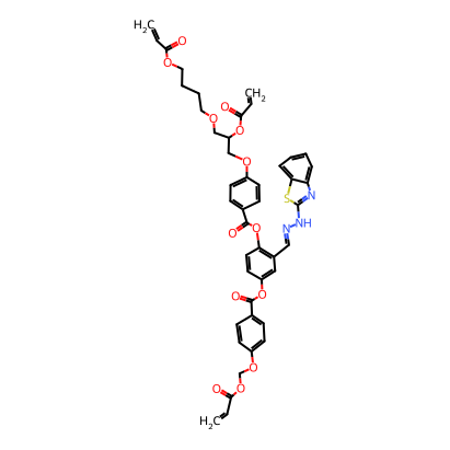 C=CC(=O)OCCCCOCC(COc1ccc(C(=O)Oc2ccc(OC(=O)c3ccc(OCOC(=O)C=C)cc3)cc2/C=N/Nc2nc3ccccc3s2)cc1)OC(=O)C=C